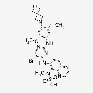 CCc1cc(Nc2ncc(Br)c(Nc3ccc4nccnc4c3N(C)S(C)(=O)=O)n2)c(OC)cc1N1CC2(COC2)C1